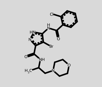 CC(CN1CCOCC1)NC(=O)c1n[nH]c(NC(=O)c2ccccc2Cl)c1Br